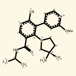 COc1cc(-c2c(C#N)ncc(C(=O)NC(C)C(F)(F)F)c2N2CC[C@](C)(N)C2)ccn1